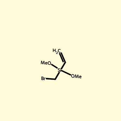 C=C[Si](CBr)(OC)OC